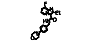 CCc1nc2c(F)cccn2c1C(=O)NCc1ccc(N2CCOCC2)cc1